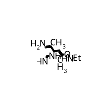 CCNO/C(C)=C/C(NC=N)/C(C)=C/N